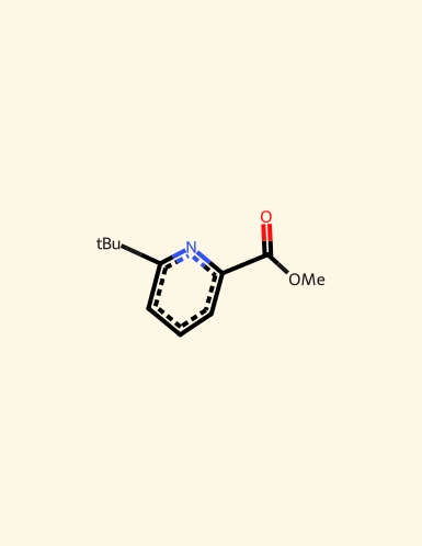 COC(=O)c1cccc(C(C)(C)C)n1